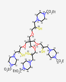 CCOC(=O)N1CCN(CC(S)COCC(COCC(S)CN2CCN(C(=O)OCC)CC2)(COCC(S)CN2CCN(C(=O)OCC)CC2)COCC(S)CN2CCN(C(=O)OCC)CC2)CC1